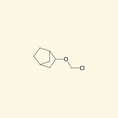 ClCOC1CC2CCC1C2